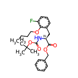 CCCCOc1c(F)cccc1C[C@H](NC(=O)OC(C)(C)C)C(=O)OCc1ccccc1